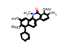 COc1cc2c(ccc3c4ccc(C)c(OC)c4c(=O)n(C)c23)c(C2CCCCC2)c1OC